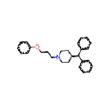 c1ccc(OCCCN2CCC(=C(c3ccccc3)c3ccccc3)CC2)cc1